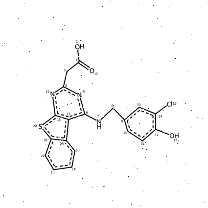 O=C(O)Cc1nc(NCc2ccc(O)c(Cl)c2)c2c(n1)sc1ccccc12